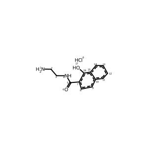 Cl.NCCNC(=O)c1ccc2ccccc2c1O